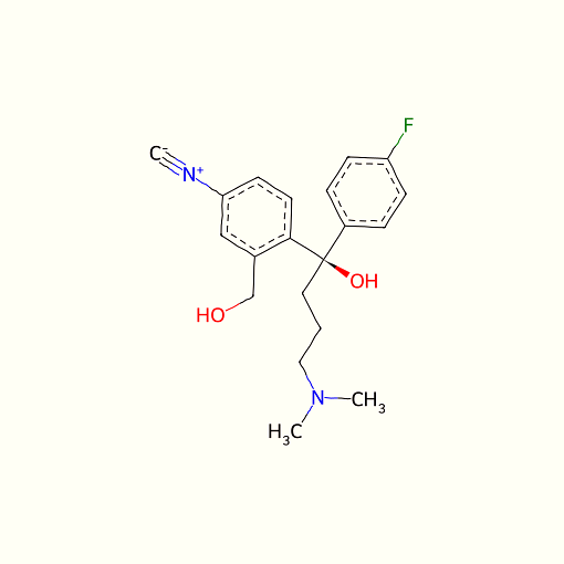 [C-]#[N+]c1ccc([C@@](O)(CCCN(C)C)c2ccc(F)cc2)c(CO)c1